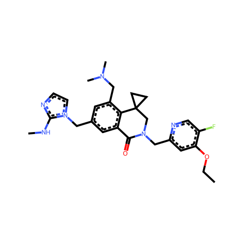 CCOc1cc(CN2CC3(CC3)c3c(CN(C)C)cc(Cn4ccnc4NC)cc3C2=O)ncc1F